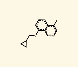 Cc1cccc2c(OCC3CC3)cccc12